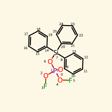 O=P(OF)(OF)O[Si](c1ccccc1)(c1ccccc1)c1ccccc1